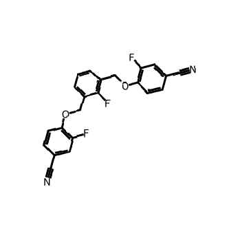 N#Cc1ccc(OCc2cccc(COc3ccc(C#N)cc3F)c2F)c(F)c1